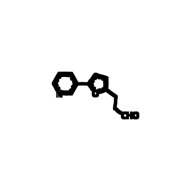 O=CCCc1ccc(-c2cccnc2)o1